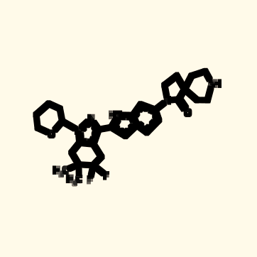 CC1(C)Cc2c(c(-c3cc4ccc(N5CCC6(CCNCC6)C5=O)cc4[nH]3)nn2C2CCCCO2)CC1(F)F